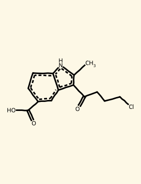 Cc1[nH]c2ccc(C(=O)O)cc2c1C(=O)CCCCl